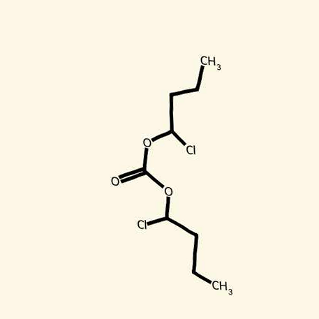 CCCC(Cl)OC(=O)OC(Cl)CCC